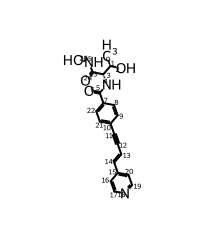 C[C@@H](O)[C@H](NC(=O)c1ccc(C#C/C=C/c2ccncc2)cc1)C(=O)NO